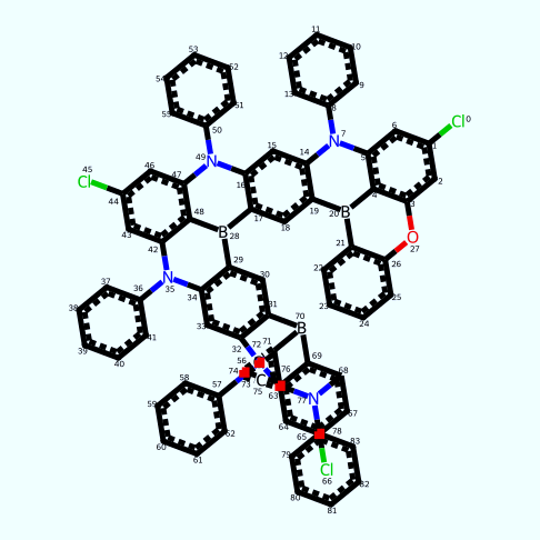 Clc1cc2c3c(c1)N(c1ccccc1)c1cc4c(cc1B3c1ccccc1O2)B1c2cc3c(cc2N(c2ccccc2)c2cc(Cl)cc(c21)N4c1ccccc1)N(c1ccccc1)c1cc(Cl)cc2c1B3c1ccccc1N2c1ccccc1